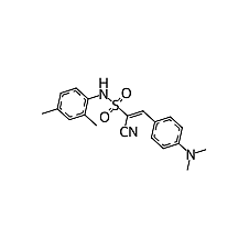 Cc1ccc(NS(=O)(=O)C(C#N)=Cc2ccc(N(C)C)cc2)c(C)c1